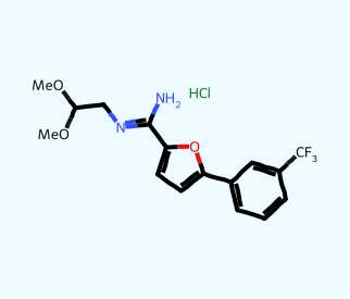 COC(CN=C(N)c1ccc(-c2cccc(C(F)(F)F)c2)o1)OC.Cl